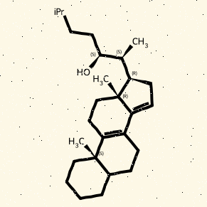 CC(C)CC[C@H](O)[C@@H](C)[C@H]1CC=C2C3=C(CC[C@@]21C)[C@@]1(C)CCCCC1CC3